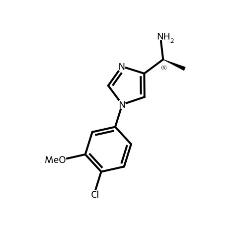 COc1cc(-n2cnc([C@H](C)N)c2)ccc1Cl